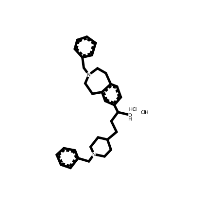 Cl.Cl.OC(CCC1CCN(Cc2ccccc2)CC1)c1ccc2c(c1)CCN(Cc1ccccc1)CC2